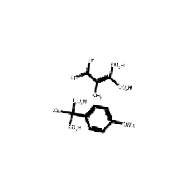 CCC(CC)C(C)=C(C(=O)O)C(=O)O.COc1ccc(C(C(=O)O)(C(=O)O)C(C)(C)C)cc1